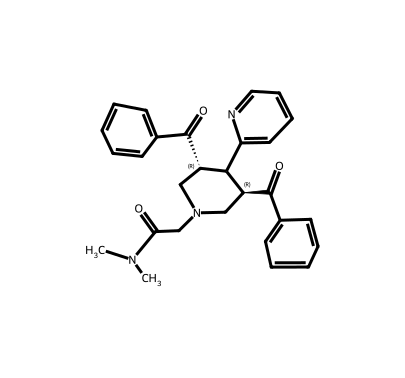 CN(C)C(=O)CN1C[C@H](C(=O)c2ccccc2)C(c2ccccn2)[C@@H](C(=O)c2ccccc2)C1